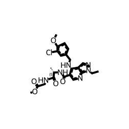 CCn1ncc2c(NCc3ccc(OC)c(Cl)c3)c(C(=O)N[C@@H](C)C(=O)NCC(=O)OC)cnc21